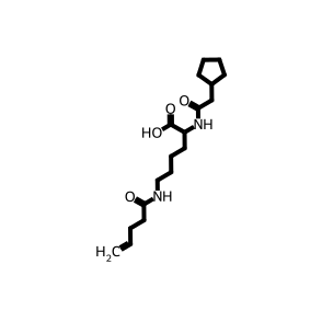 C=CCCC(=O)NCCCCC(NC(=O)CC1CCCC1)C(=O)O